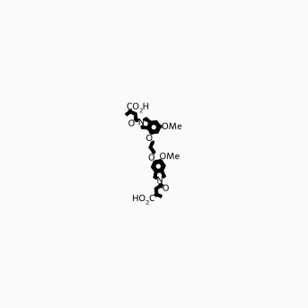 COc1cc2c(c(OCCCOc3cc4c(cc3OC)CN(C(=O)CC(C)C(=O)O)C4)c1)CN(C(=O)CC(C)C(=O)O)C2